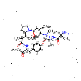 CCC(C)C(C(CC(=O)N1CCCC1C(OC)C(C)C(=O)N[C@@H](Cc1ccccc1)C(=O)OC)OC)N(C)C(=O)[C@H](NC(=O)C(C)(N)C(C)C)C(C)C